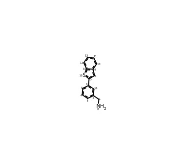 NCc1cccc(-c2cc3ccccc3s2)c1